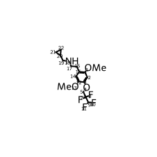 COc1cc(OCC(F)(F)C(F)F)c(OC)cc1CCNCC1CC1